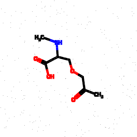 CNC(COCC(C)=O)C(=O)O